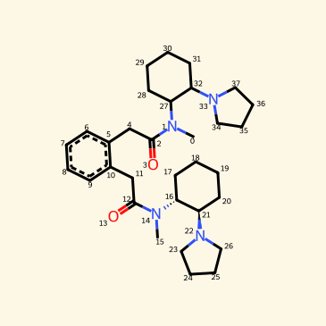 CN(C(=O)Cc1ccccc1CC(=O)N(C)[C@@H]1CCCC[C@H]1N1CCCC1)C1CCCCC1N1CCCC1